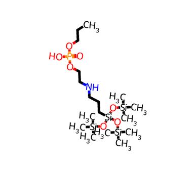 CCCOP(=O)(O)OCCNCCC[Si](O[Si](C)(C)C)(O[Si](C)(C)C)O[Si](C)(C)C